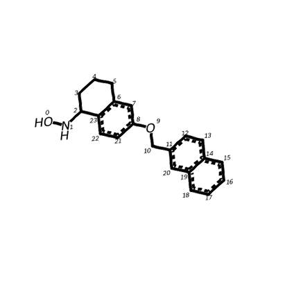 ONC1CCCc2cc(OCc3ccc4ccccc4c3)ccc21